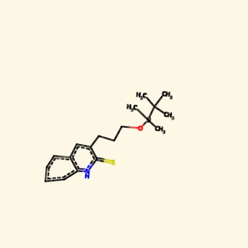 CC(C)(C)[Si](C)(C)OCCCc1cc2ccccc2[nH]c1=S